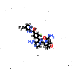 NCC(=O)N1[C@@H]2COC[C@@H]2C[C@H]1c1nc(-c2ccc(C(=O)Nc3cc(C(F)(F)F)ccn3)cc2F)c2c(N)nccn12